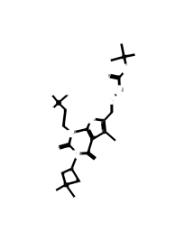 Cc1c(CNNC(=O)OC(C)(C)C)sc2c1c(=O)n(C1CC(C)(C)C1)c(=O)n2CCC(F)(F)F